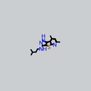 Cc1cc(C)c2c(n1)sc1c(NCCC(C)C)n[nH]c12